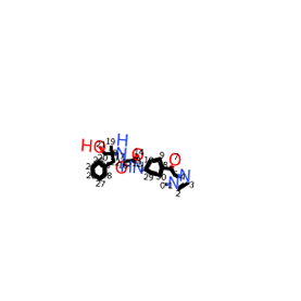 Cn1ccnc1C(=O)c1ccc(NC(=O)C(=O)NC(C)(CO)Cc2ccccc2)cc1